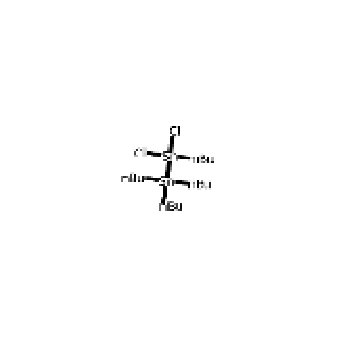 CCC[CH2][Sn]([Cl])([Cl])[Sn]([CH2]CCC)([CH2]CCC)[CH2]CCC